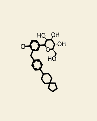 OC[C@H]1OC(c2ccc(Cl)c(Cc3ccc(C4CCC5(CCCC5)CC4)cc3)c2)[C@H](O)[C@@H](O)[C@@H]1O